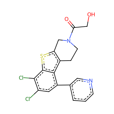 O=C(CO)N1CCc2c(sc3c(Cl)c(Cl)cc(-c4cccnc4)c23)C1